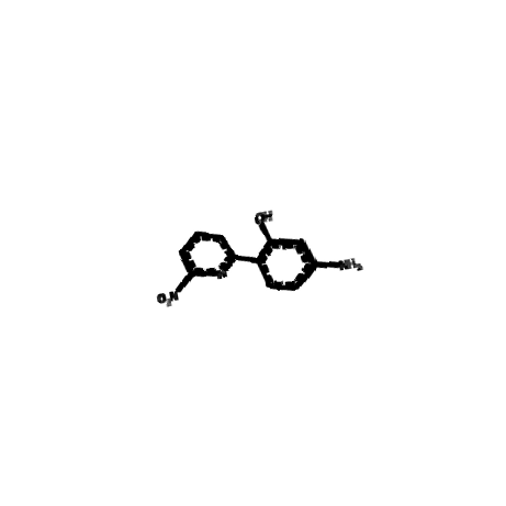 Nc1ccc(-c2cccc([N+](=O)[O-])n2)c(O)c1